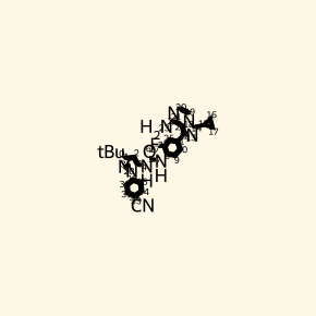 CC(C)(C)c1cc(NC(=O)Nc2ccc(-c3nc(C4CC4)n4ccnc(N)c34)cc2F)n(-c2ccc(C#N)cc2)n1